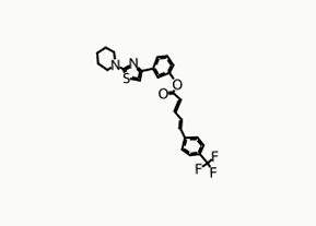 O=C(C=CC=Cc1ccc(C(F)(F)F)cc1)Oc1cccc(-c2csc(N3CCCCC3)n2)c1